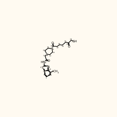 Cc1cccc2sc(NC(=O)CN3CCN(C(=O)CCCCC(=O)CS)CC3)nc12